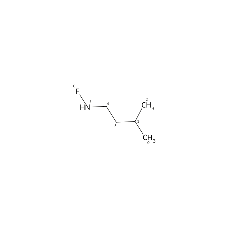 CC(C)CCNF